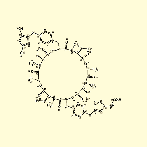 CC(C)C[C@H]1C(=O)O[C@H](Cc2ccc(Cn3nc(C#N)cc3C#N)cc2)C(=O)N(C)[C@@H](CC(C)C)C(=O)O[C@H](C)C(=O)N(C)[C@@H](CC(C)C)C(=O)O[C@H](Cc2ccc(Cn3cc(NC(=O)O)cn3)cc2)C(=O)N(C)[C@@H](CC(C)C)C(=O)O[C@H](C)C(=O)N1C